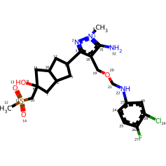 Cn1nc(C2CC3CC(O)(CS(C)(=O)=O)CC3C2)c(COCNc2ccc(F)c(Cl)c2)c1N